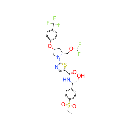 CCS(=O)(=O)c1ccc([C@@H](CO)NC(=O)c2cnc(N3C[C@@H](Oc4ccc(C(F)(F)F)cc4)C[C@H]3COC(F)F)s2)cc1